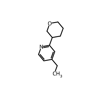 CCc1ccnc(C2CCCOC2)c1